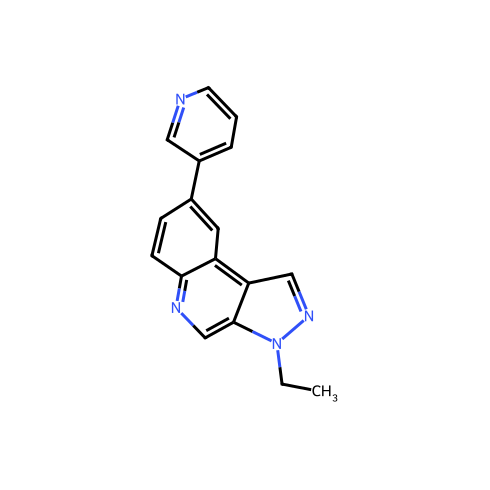 CCn1ncc2c3cc(-c4cccnc4)ccc3ncc21